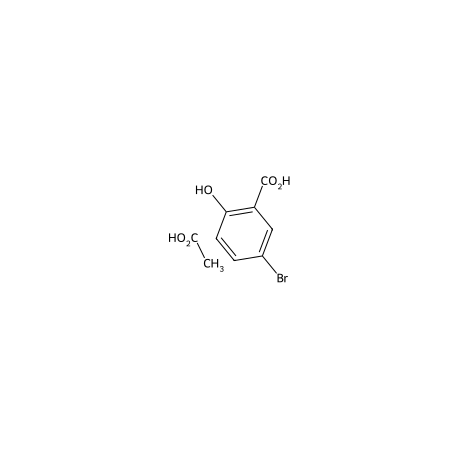 CC(=O)O.O=C(O)c1cc(Br)ccc1O